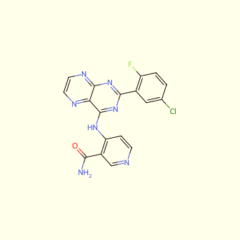 NC(=O)c1cnccc1Nc1nc(-c2cc(Cl)ccc2F)nc2nccnc12